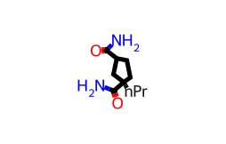 CCCC1(C(N)=O)CCC(C(N)=O)C1